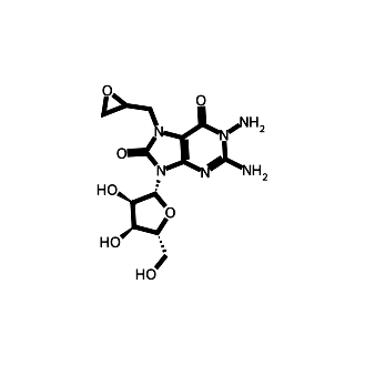 Nc1nc2c(c(=O)n1N)n(CC1CO1)c(=O)n2[C@@H]1O[C@H](CO)[C@@H](O)[C@H]1O